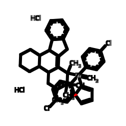 Cl.Cl.[CH2]=[Zr]([C]1=CC=CC1)([c]1ccc(Cl)cc1)([c]1ccc(Cl)cc1)[C]1(C)C2=C3Cc4ccccc4C3C3CCCCC3C2CC(C)C1(C)C